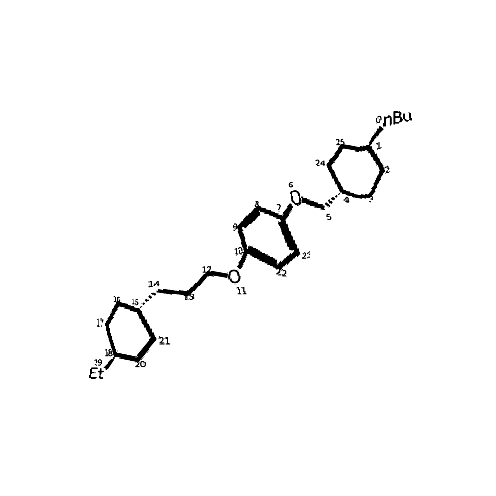 CCCC[C@H]1CC[C@H](COc2ccc(OCCC[C@H]3CC[C@H](CC)CC3)cc2)CC1